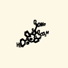 COC(=O)c1sc(-c2cccc(N(C3CCNCC3)S(=O)(=O)Cc3ccc(F)cc3)c2)c(Cl)c1OCC(=O)O